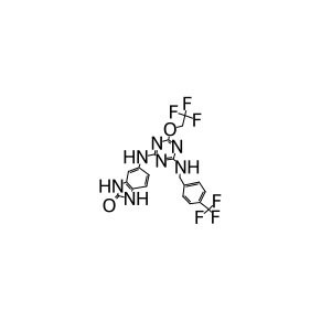 O=c1[nH]c2ccc(Nc3nc(NCc4ccc(C(F)(F)F)cc4)nc(OCC(F)(F)F)n3)cc2[nH]1